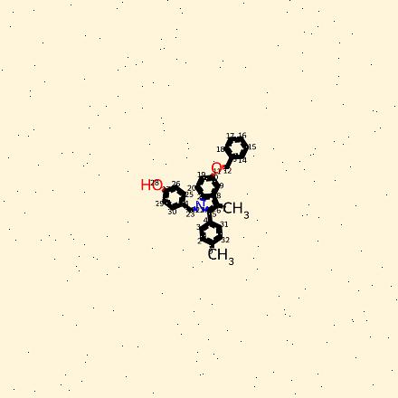 Cc1ccc(-c2c(C)c3cc(OCc4ccccc4)ccc3n2Cc2ccc(O)cc2)cc1